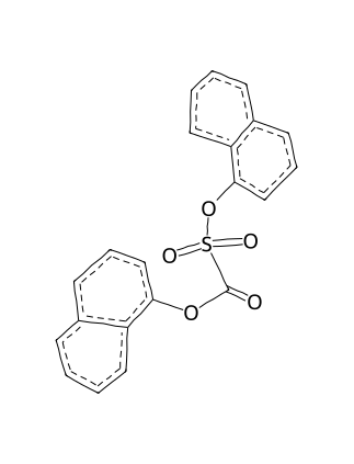 O=C(Oc1cccc2ccccc12)S(=O)(=O)Oc1cccc2ccccc12